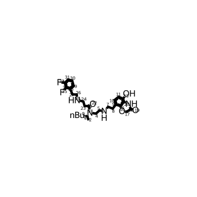 CCCC[C@@H](C)N(CCNCCc1ccc(O)c2c1OCC(=O)N2)C(=O)CCNCCc1cccc(F)c1F